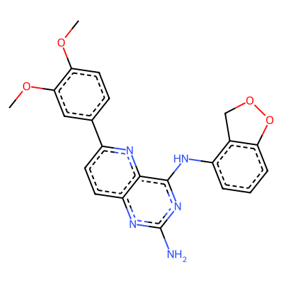 COc1ccc(-c2ccc3nc(N)nc(Nc4cccc5c4COO5)c3n2)cc1OC